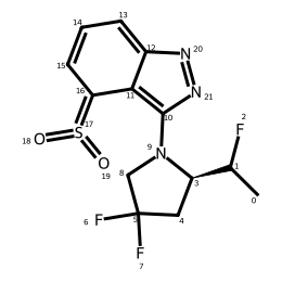 CC(F)[C@H]1CC(F)(F)CN1C1=C2C(=CC=CC2=S(=O)=O)N=N1